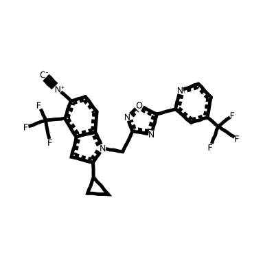 [C-]#[N+]c1ccc2c(cc(C3CC3)n2Cc2noc(-c3cc(C(F)(F)F)ccn3)n2)c1C(F)(F)F